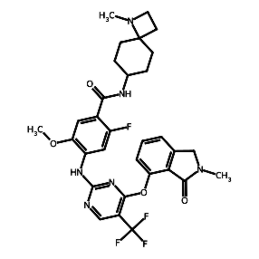 COc1cc(C(=O)NC2CCC3(CC2)CCN3C)c(F)cc1Nc1ncc(C(F)(F)F)c(Oc2cccc3c2C(=O)N(C)C3)n1